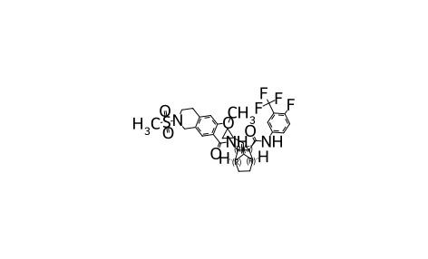 COc1cc2c(cc1C(=O)N[C@H]1[C@@H](C(=O)Nc3ccc(F)c(C(F)(F)F)c3)[C@H]3CC[C@@H]1C3=CC1CC1)CN(S(C)(=O)=O)CC2